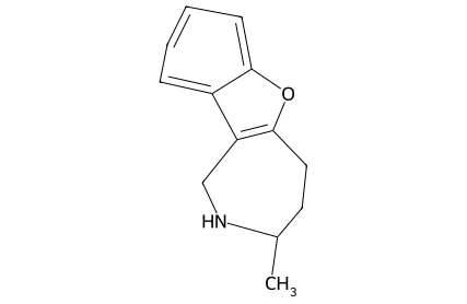 CC1CCc2oc3ccccc3c2CN1